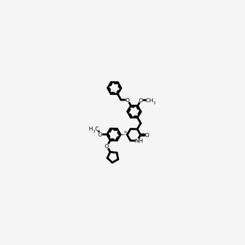 COc1cc(CC2C[C@@H](c3ccc(OC)c(OC4CCCC4)c3)CNC2=O)ccc1OCc1ccccc1